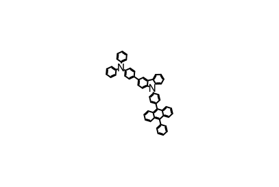 c1ccc(-c2c3ccccc3c(-c3ccc(-n4c5ccccc5c5cc(-c6ccc(N(c7ccccc7)c7ccccc7)cc6)ccc54)cc3)c3ccccc23)cc1